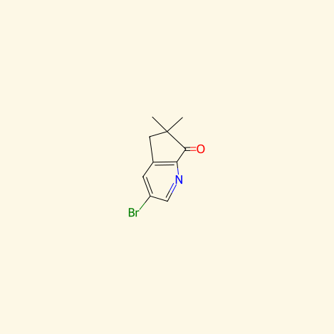 CC1(C)Cc2cc(Br)cnc2C1=O